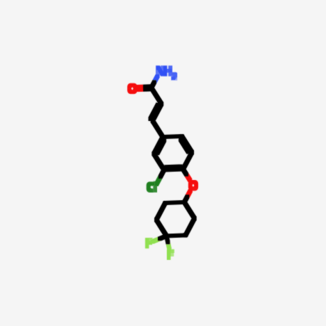 NC(=O)C=Cc1ccc(OC2CCC(F)(F)CC2)c(Cl)c1